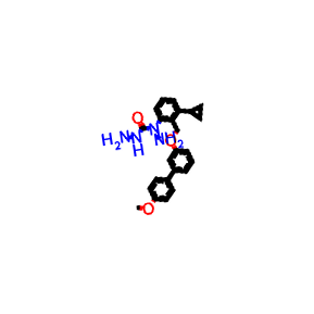 COc1ccc(-c2cccc(OCc3c(C4CC4)cccc3N(N)C(=O)NN)c2)cc1